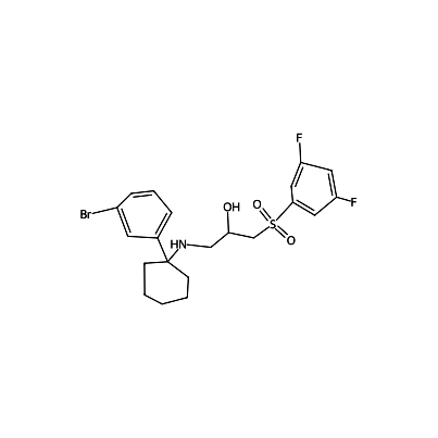 O=S(=O)(CC(O)CNC1(c2cccc(Br)c2)CCCCC1)c1cc(F)cc(F)c1